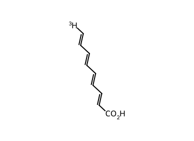 [3H]C=CC=CC=CC=CC(=O)O